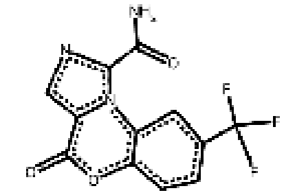 NC(=O)c1ncc2c(=O)oc3ccc(C(F)(F)F)cc3n12